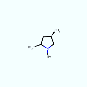 CC(C)N1C[C@H](C)CC1C(=O)O